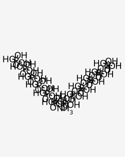 N.O=P(O)(O)O.O=P(O)(O)O.O=P(O)(O)O.O=P(O)(O)O.O=P(O)(O)O.O=P(O)(O)O.O=P(O)(O)O.O=P(O)(O)O.O=P(O)(O)O.O=P(O)(O)O.O=P(O)(O)O.O=P(O)(O)O